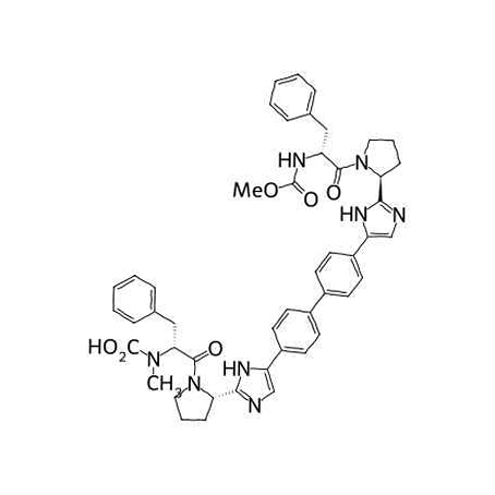 COC(=O)N[C@H](Cc1ccccc1)C(=O)N1CCC[C@H]1c1ncc(-c2ccc(-c3ccc(-c4cnc([C@@H]5CCCN5C(=O)[C@@H](Cc5ccccc5)N(C)C(=O)O)[nH]4)cc3)cc2)[nH]1